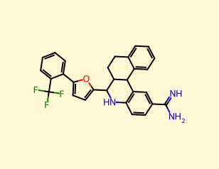 N=C(N)c1ccc2c(c1)C1c3ccccc3CCC1C(c1ccc(-c3ccccc3C(F)(F)F)o1)N2